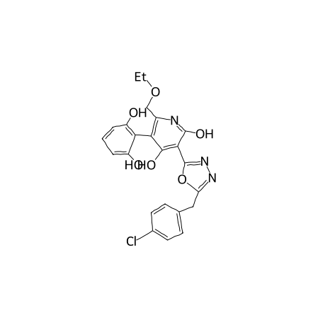 CCOCc1nc(O)c(-c2nnc(Cc3ccc(Cl)cc3)o2)c(O)c1-c1c(O)cccc1O